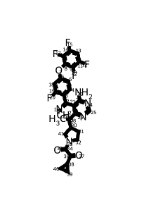 C/N=C(/c1ccc(Oc2c(F)c(F)cc(F)c2F)cc1F)c1c(N)ncnc1C(C)C1CCN(C(=O)C(=O)C2CC2)C1